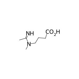 CC(=N)N(C)CCCC(=O)O